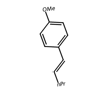 CCC[C]=Cc1ccc(OC)cc1